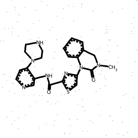 CN1Cc2ccccc2N(c2csc(C(=O)Nc3cnccc3N3CCNCC3)n2)C1=O